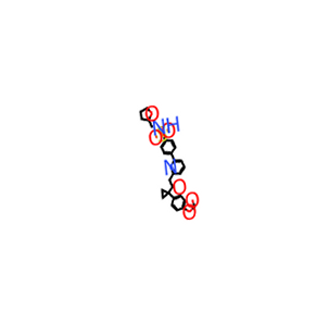 O=C(Cc1cccc(-c2ccc(S(=O)(=O)NCC3CCCO3)cc2)n1)C1(c2ccc3c(c2)OCO3)CC1